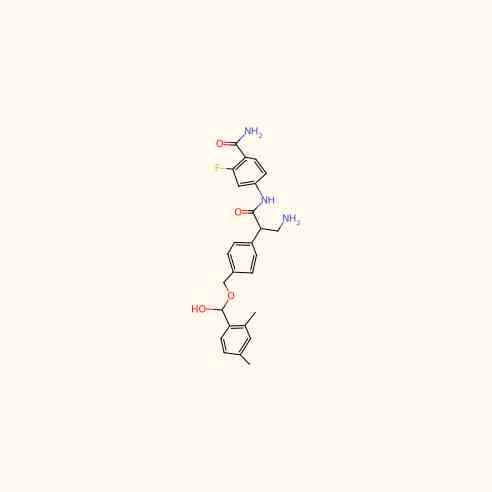 Cc1ccc(C(O)OCc2ccc(C(CN)C(=O)Nc3ccc(C(N)=O)c(F)c3)cc2)c(C)c1